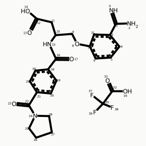 N=C(N)c1cccc(OCC(CC(=O)O)NC(=O)c2ccc(C(=O)N3CCCC3)cc2)c1.O=C(O)C(F)(F)F